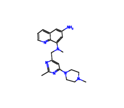 Cc1nc(CN(C)c2cc(N)cc3cccnc23)cc(N2CCN(C)CC2)n1